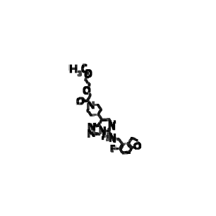 COCCOCC(=O)N1CCC(c2cnc(NCc3c(F)ccc4c3CCO4)n3cnnc23)CC1